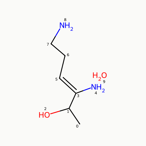 CC(O)C(N)=CCCN.O